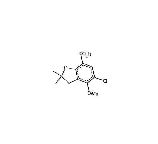 COc1c(Cl)cc(C(=O)O)c2c1CC(C)(C)O2